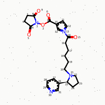 O=C(ON1C(=O)CCC1=O)c1ccn(C(=O)CCCCCN2CCC[C@H]2c2cccnc2)c1